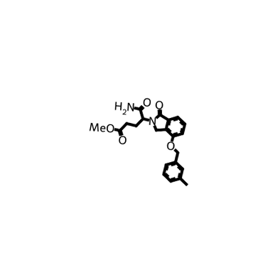 COC(=O)CCC(C(N)=O)N1Cc2c(OCc3cccc(C)c3)cccc2C1=O